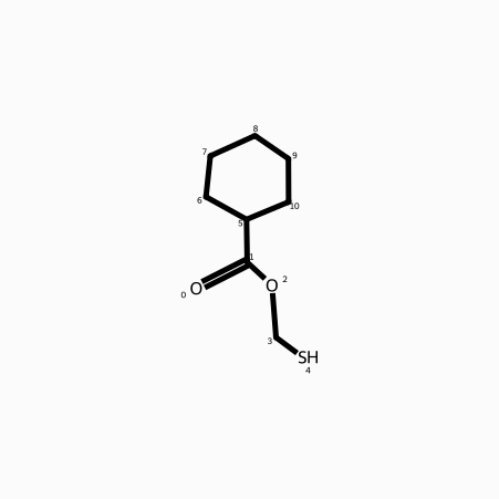 O=C(OCS)C1CCCCC1